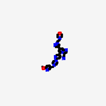 COc1ccc(CN2CCN(c3ccc(-c4cc(-c5cnn(CCN6CCOCC6)c5)cc5ncc(C#N)n45)cn3)CC2)cn1